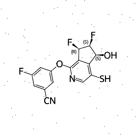 N#Cc1cc(F)cc(Oc2ncc(S)c3c2[C@@H](F)[C@@H](F)[C@H]3O)c1